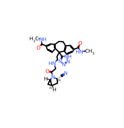 CNC(=O)c1ccc2c(c1)CCc1cc(C(=O)NC)ccc1C2(CCNCC(=O)N1[C@H](C#N)C[C@@H]2C[C@@H]21)c1nnn[nH]1